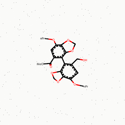 CCCOc1cc(CO)c(-c2c(C(=O)OC)cc(OCCC)c3c2OCO3)c2c1OCO2